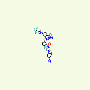 N#Cc1ccc(N2CCN(C(=O)c3cc(Cc4n[nH]c(=O)c5ccc(N6CC(C(F)(F)F)C6)cc45)ccc3F)CC2)nc1